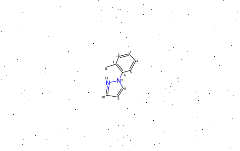 Cc1[c]cccc1-n1cccn1